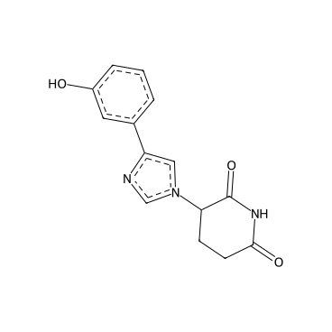 O=C1CCC(n2cnc(-c3cccc(O)c3)c2)C(=O)N1